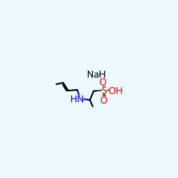 C/C=C/CNC(C)CS(=O)(=O)O.[NaH]